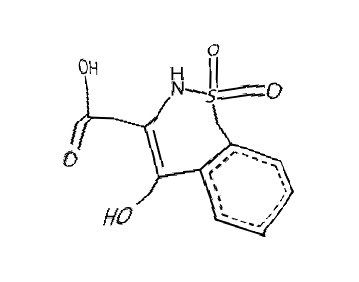 O=C(O)C1=C(O)c2ccccc2S(=O)(=O)N1